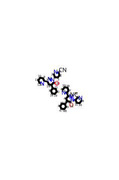 N#Cc1ccc(-n2nc(-c3ccccn3)cc(-c3ccccc3)c2=O)cn1.N#Cc1ncccc1-n1nc(-c2ccccn2)cc(-c2ccccc2)c1=O